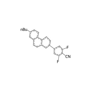 CCCCc1ccc2c(ccc3cc(-c4cc(F)c(C#N)c(F)c4)ccc32)c1